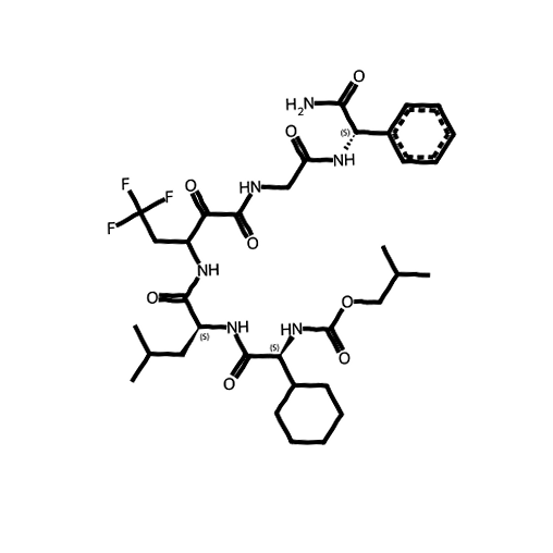 CC(C)COC(=O)N[C@H](C(=O)N[C@@H](CC(C)C)C(=O)NC(CC(F)(F)F)C(=O)C(=O)NCC(=O)N[C@H](C(N)=O)c1ccccc1)C1CCCCC1